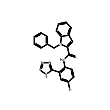 O=C(Nc1ccc(Br)cc1-c1nnn[nH]1)c1cc2ccccc2n1Cc1ccccc1